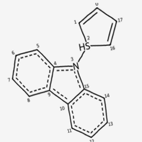 C1=C[SH](n2c3ccccc3c3ccccc32)C=C1